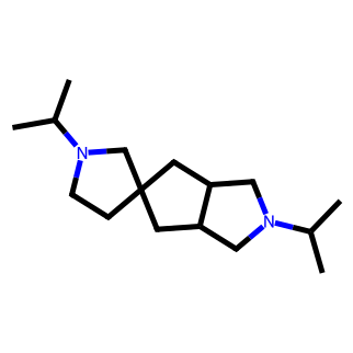 CC(C)N1CC2CC3(CCN(C(C)C)C3)CC2C1